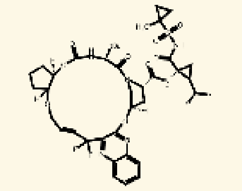 CC(C)(C)[C@@H]1NC(=O)O[C@@H]2CCC[C@H]2OC/C=C/C(F)(F)c2nc3ccccc3nc2O[C@@H]2C[C@@H](C(=O)N[C@]3(C(=O)NS(=O)(=O)C4(C)CC4)CC3C(F)F)N(C2)C1=O